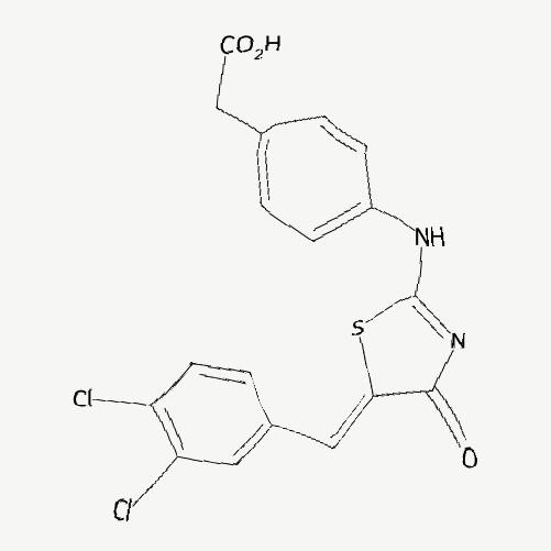 O=C(O)Cc1ccc(NC2=NC(=O)/C(=C/c3ccc(Cl)c(Cl)c3)S2)cc1